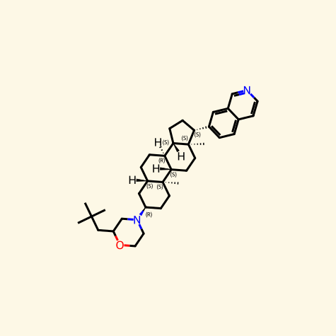 CC(C)(C)CC1CN([C@@H]2CC[C@@]3(C)[C@@H](CC[C@@H]4[C@@H]3CC[C@]3(C)[C@@H](c5ccc6ccncc6c5)CC[C@@H]43)C2)CCO1